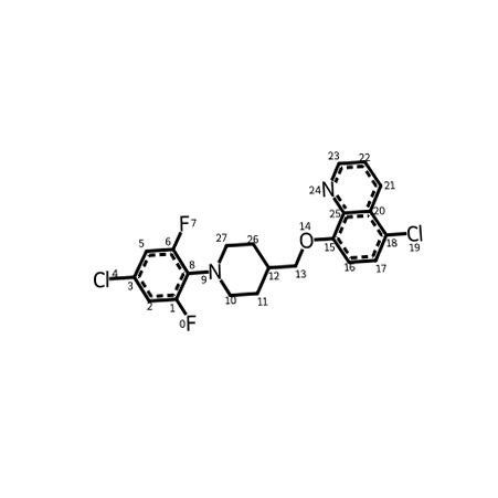 Fc1cc(Cl)cc(F)c1N1CCC(COc2ccc(Cl)c3cccnc23)CC1